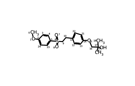 COc1ccc(S(=O)(=O)CCc2ccc(OCC(C)(C)O)cc2)cc1